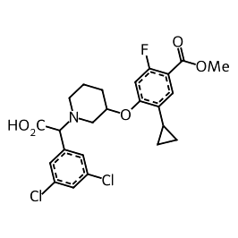 COC(=O)c1cc(C2CC2)c(OC2CCCN(C(C(=O)O)c3cc(Cl)cc(Cl)c3)C2)cc1F